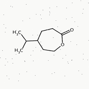 CC(C)C1CCOC(=O)CC1